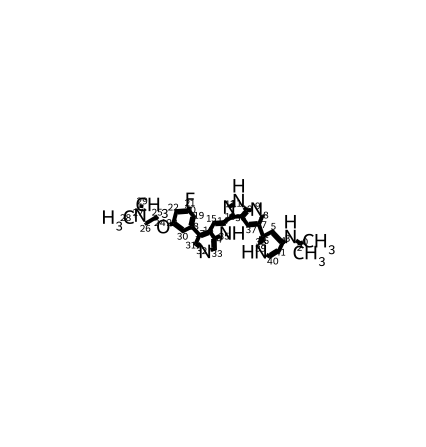 CC(C)NC1=CC(c2cnc3[nH]nc(-c4cc5c(-c6cc(F)cc(OCCN(C)C)c6)cncc5[nH]4)c3c2)=CNC=C1